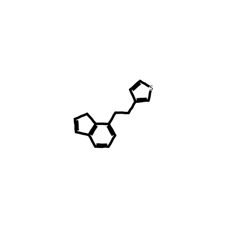 C1=Cc2cccc(CCc3ccsc3)c2C1